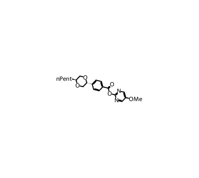 CCCCC[C@H]1CO[C@H](c2ccc(C(=O)Oc3ncc(OC)cn3)cc2)CO1